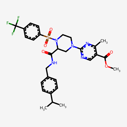 COC(=O)c1cnc(N2CCN(S(=O)(=O)c3ccc(C(F)(F)F)cc3)C(C(=O)NCc3ccc(C(C)C)cc3)C2)nc1C